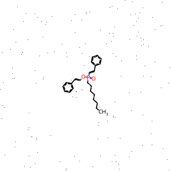 CCCCCCCCP(=O)(C=Cc1ccccc1)OC=Cc1ccccc1